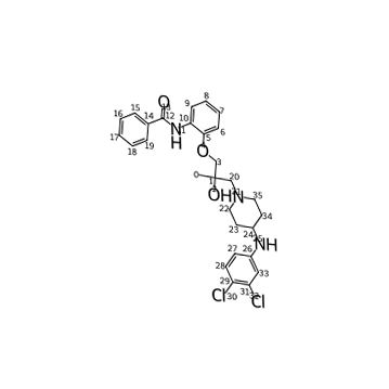 CC(O)(COc1ccccc1NC(=O)c1ccccc1)CN1CCC(Nc2ccc(Cl)c(Cl)c2)CC1